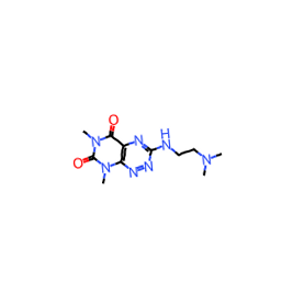 CN(C)CCNc1nnc2c(n1)c(=O)n(C)c(=O)n2C